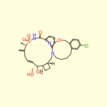 C=C1C/C=C/[C@](CO)(OC)[C@@H]2CC[C@H]2CN2CCCCc3cc(Cl)ccc3COc3ccc(nc32)C(=O)NS(=O)(=O)[C@@H]1C